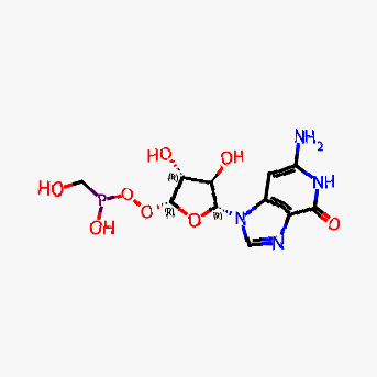 Nc1cc2c(ncn2[C@@H]2O[C@H](OOP(O)CO)[C@H](O)C2O)c(=O)[nH]1